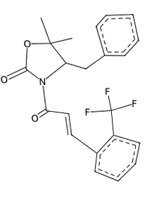 CC1(C)OC(=O)N(C(=O)/C=C/c2ccccc2C(F)(F)F)C1Cc1ccccc1